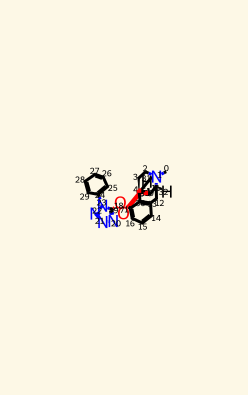 CN1CC[C@]23CC(=O)C=C[C@H]2[C@H]1Cc1cccc(Oc2nnnn2-c2ccccc2)c13